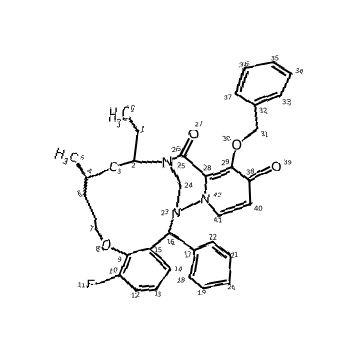 CCC1C[C@H](C)CCOc2c(F)cccc2C(c2ccccc2)N2CN1C(=O)c1c(OCc3ccccc3)c(=O)ccn12